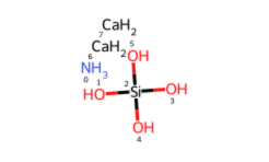 N.O[Si](O)(O)O.[CaH2].[CaH2]